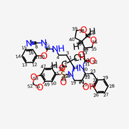 CC(C)(CCN/C(=N/C#N)Oc1ccccc1)CN(C[C@@H](O)[C@H](Cc1ccccc1)NC(=O)O[C@H]1CO[C@H]2OCC[C@H]21)S(=O)(=O)c1ccc2c(c1)OCO2